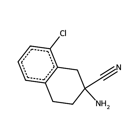 N#CC1(N)CCc2cccc(Cl)c2C1